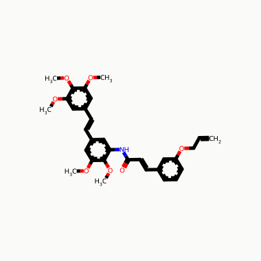 C=CCOc1cccc(/C=C/C(=O)Nc2cc(C=Cc3cc(OC)c(OC)c(OC)c3)cc(OC)c2OC)c1